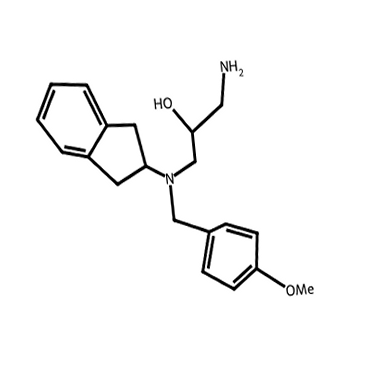 COc1ccc(CN(CC(O)CN)C2Cc3ccccc3C2)cc1